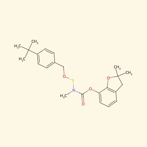 CN(SOCc1ccc(C(C)(C)C)cc1)C(=O)Oc1cccc2c1OC(C)(C)C2